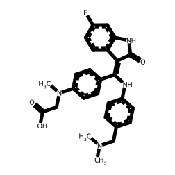 CN(C)Cc1ccc(N/C(=C2\C(=O)Nc3cc(F)ccc32)c2ccc(N(C)CC(=O)O)cc2)cc1